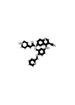 Cc1cc(Nc2c(C#N)cnc3ccc(NC(=O)C=C4CCNCC4)cc23)ccc1OCc1ccccn1